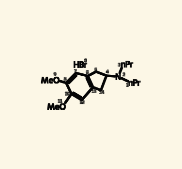 Br.CCCN(CCC)C1Cc2cc(OC)c(OC)cc2C1